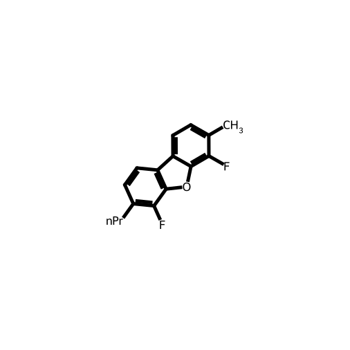 CCCc1ccc2c(oc3c(F)c(C)ccc32)c1F